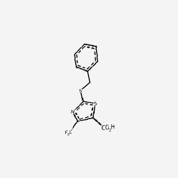 O=C(O)c1sc(SCc2ccccc2)nc1C(F)(F)F